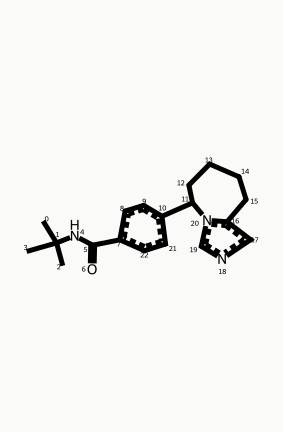 CC(C)(C)NC(=O)c1ccc(C2CCCCc3cncn32)cc1